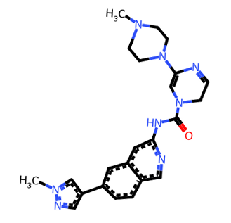 CN1CCN(C2=CN(C(=O)Nc3cc4cc(-c5cnn(C)c5)ccc4cn3)CC=N2)CC1